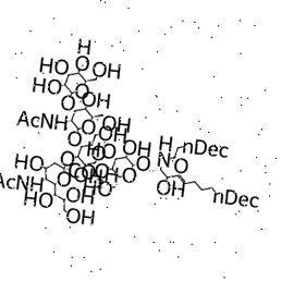 CCCCCCCCCCCCC/C=C/[C@@H](O)[C@H](CO[C@@H]1O[C@H](CO)[C@@H](O[C@@H]2O[C@H](CO)[C@H](O[C@@H]3O[C@H](CO)[C@H](O)[C@H](O[C@@H]4O[C@H](CO)[C@H](O)[C@H](O)[C@H]4O)[C@H]3NC(C)=O)[C@H](O[C@]3(C(=O)O)C[C@H](O)[C@@H](NC(C)=O)C([C@@H](O)[C@@H](O)CO)O3)[C@H]2O)[C@H](O)C1O)NC(=O)CCCCCCCCCCC